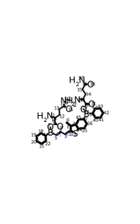 C=c1/c(=C\C=C\B(OC(=O)C(N)CCC(N)=O)c2ccccc2)sc2ccc(B(OC(=O)C(N)CCC(N)=O)c3ccccc3)cc12